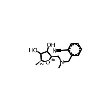 C[C@@H]1O[C@H](CN(C)Cc2ccccc2C#N)C(O)C1O